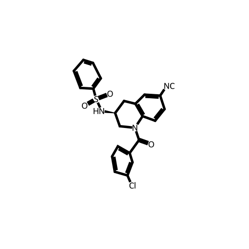 [C-]#[N+]c1ccc2c(c1)C[C@H](NS(=O)(=O)c1ccccc1)CN2C(=O)c1cccc(Cl)c1